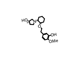 COc1ccc(CCO[C@@H]2CCCC[C@H]2N2CC[C@@H](O)C2)cc1O